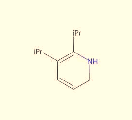 CC(C)C1=C(C(C)C)NCC=C1